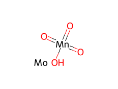 [Mo].[O]=[Mn](=[O])(=[O])[OH]